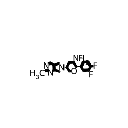 Cc1ncc2c(n1)CN([C@H]1CO[C@H](c3cc(F)c(F)cc3F)[C@@H](N)C1)C2